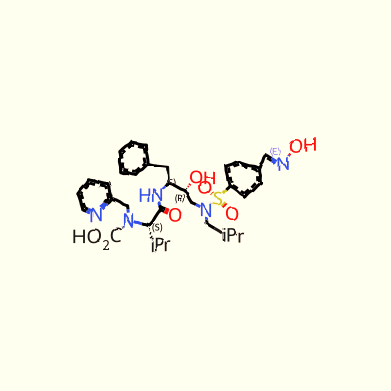 CC(C)CN(C[C@@H](O)[C@H](Cc1ccccc1)NC(=O)[C@H](C(C)C)N(Cc1ccccn1)C(=O)O)S(=O)(=O)c1ccc(/C=N/O)cc1